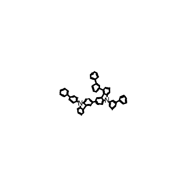 c1ccc(-c2ccc(-n3c4ccccc4c4cc(-c5ccc6c(c5)c5c(-c7cccc(-c8ccccc8)c7)cccc5n6-c5cccc(-c6ccccc6)c5)ccc43)cc2)cc1